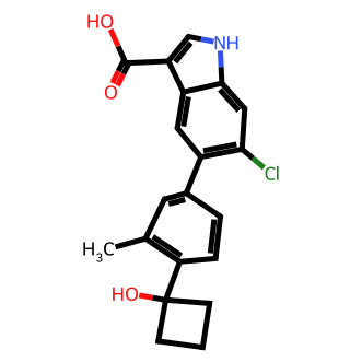 Cc1cc(-c2cc3c(C(=O)O)c[nH]c3cc2Cl)ccc1C1(O)CCC1